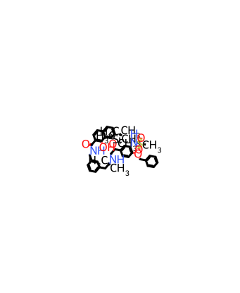 CC(C)(Cc1cccc(CNC(=O)c2ccc3ccccc3c2O)c1)NCC(O[Si](C)(C)C(C)(C)C)c1ccc(OCc2ccccc2)c(NS(C)(=O)=O)c1